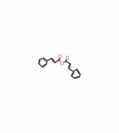 O=C(/C=C/c1ccccc1)OC(=O)/C=C/c1ccccc1